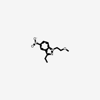 CCc1nn(CCOC)c2ccc([N+](=O)[O-])cc12